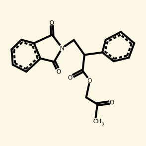 CC(=O)COC(=O)C(CN1C(=O)c2ccccc2C1=O)c1ccccc1